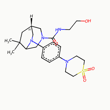 CC1(C)C[C@@H]2CN(C(=O)NCCO)CC1N(c1ccc(N3CCS(=O)(=O)CC3)cc1)C2